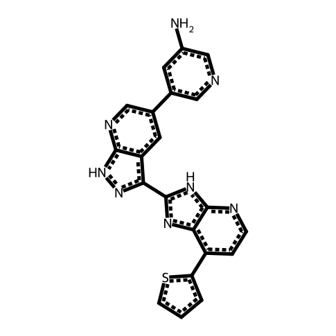 Nc1cncc(-c2cnc3[nH]nc(-c4nc5c(-c6cccs6)ccnc5[nH]4)c3c2)c1